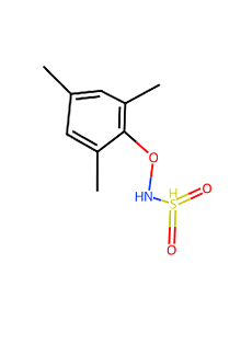 Cc1cc(C)c(ON[SH](=O)=O)c(C)c1